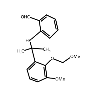 COCOc1c(OC)cccc1C(C)(C)Pc1ccccc1C=O